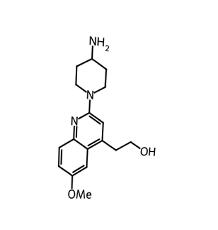 COc1ccc2nc(N3CCC(N)CC3)cc(CCO)c2c1